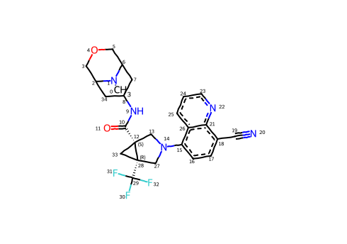 CN1C2COCC1CC(NC(=O)[C@]13CN(c4ccc(C#N)c5ncccc45)C[C@@]1(C(F)(F)F)C3)C2